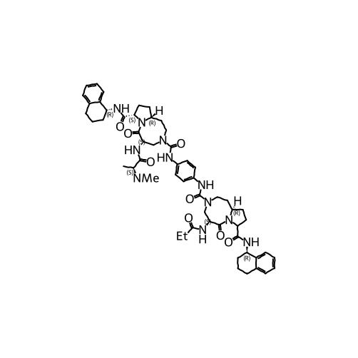 CCC(=O)N[C@H]1CN(C(=O)Nc2ccc(NC(=O)N3CC[C@H]4CC[C@@H](C(=O)N[C@@H]5CCCc6ccccc65)N4C(=O)[C@@H](NC(=O)[C@H](C)NC)C3)cc2)CC[C@H]2CCC(C(=O)N[C@@H]3CCCc4ccccc43)N2C1=O